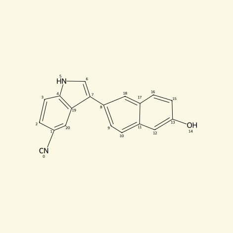 [C-]#[N+]c1ccc2[nH]cc(-c3ccc4cc(O)ccc4c3)c2c1